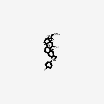 CSCC(=O)C1(OC(C)=O)CC[C@@]2(C)C3CCC4=Cc5c(cnn5-c5ccc(F)cc5)CC4(C)[C@@]3(C)C(O)CC12C